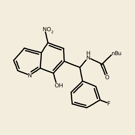 CCCCC(=O)NC(c1cccc(F)c1)c1cc([N+](=O)[O-])c2cccnc2c1O